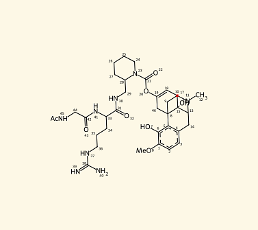 COc1ccc2c(c1O)C13CCN(C)C(C2)C1(O)CC=C(OC(=O)N1CCCCC1CNC(=O)C(CCCNC(=N)N)NC(=O)CNC(C)=O)C3